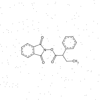 CCC(C(=O)ON1C(=O)c2ccccc2C1=O)c1ccccc1